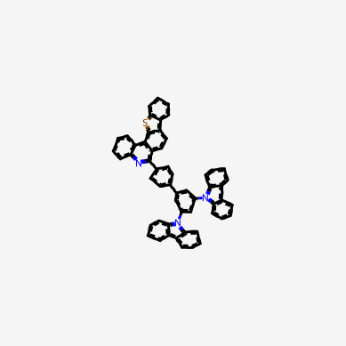 c1ccc2c(c1)nc(-c1ccc(-c3cc(-n4c5ccccc5c5ccccc54)cc(-n4c5ccccc5c5ccccc54)c3)cc1)c1ccc3c4ccccc4sc3c12